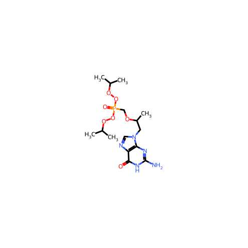 CC(C)OOP(=O)(COC(C)Cn1cnc2c(=O)[nH]c(N)nc21)OOC(C)C